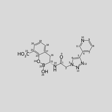 O=C(Cn1cc(-c2cccnc2)nn1)N[C@H]1Cc2cccc(C(=O)O)c2OB1O